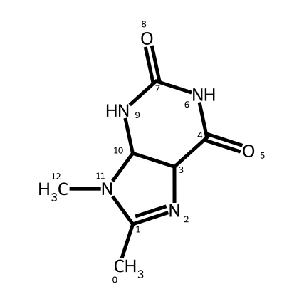 CC1=NC2C(=O)NC(=O)NC2N1C